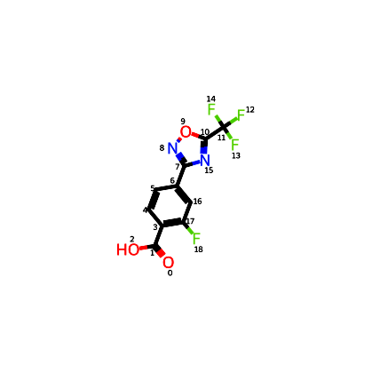 O=C(O)c1ccc(-c2noc(C(F)(F)F)n2)cc1F